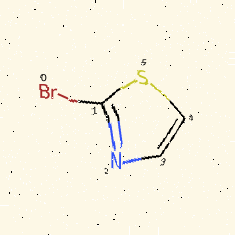 Brc1nc[c]s1